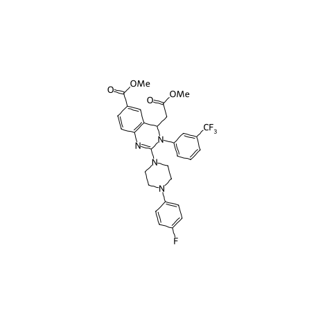 COC(=O)CC1c2cc(C(=O)OC)ccc2N=C(N2CCN(c3ccc(F)cc3)CC2)N1c1cccc(C(F)(F)F)c1